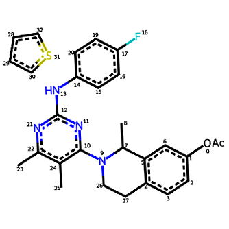 CC(=O)Oc1ccc2c(c1)C(C)N(c1nc(Nc3ccc(F)cc3)nc(C)c1C)CC2.c1ccsc1